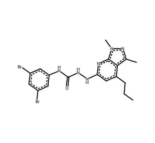 CCCc1cc(NNC(=O)Nc2cc(Br)cc(Br)c2)nc2c1c(C)nn2C